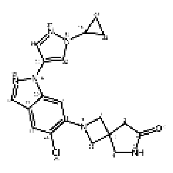 O=C1CC2(CN1)CN(c1cc3c(cnn3-c3cnn(C4CC4)c3)cc1Cl)C2